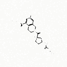 COC(=O)c1cc(C(F)(F)F)cc2c1CCN(C(=O)[C@@]1(C(C)C)CC[C@@H](NC(=O)OC(C)(C)C)C1)C2